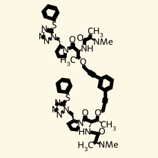 CN[C@@H](C)C(=O)N[C@H](C(=O)N1CCC[C@H]1Cn1nnnc1Sc1ccccc1)[C@@H](C)OCC#Cc1cccc(C#CCO[C@@H](C)[C@@H](NC(=O)[C@@H](C)NC)C(=O)N2CCC[C@@H]2Cn2nnnc2Sc2ccccc2)c1